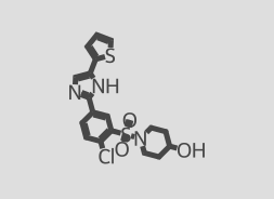 O=S(=O)(c1cc(-c2ncc(-c3cccs3)[nH]2)ccc1Cl)N1CCC(O)CC1